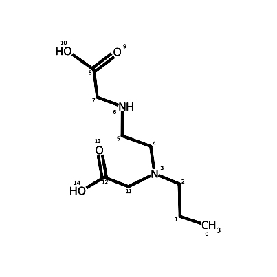 CCCN(CCNCC(=O)O)CC(=O)O